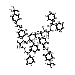 CC(NCCC(c1ccccc1)c1ccccc1)C(OC(=O)/C=C\C(=O)OC(c1ccc(OCc2ccc(C(C)(C)C)cc2)cc1)C(C)NCCC(c1ccccc1)c1ccccc1)c1ccc(OCc2ccc(C(C)(C)C)cc2)cc1